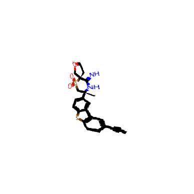 CC#Cc1ccc2sc3ccc([C@]4(C)CS(=O)(=O)[C@@]5(CCOC5)C(=N)N4)cc3c2c1